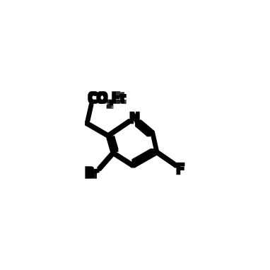 CCOC(=O)Cc1ncc(F)cc1Br